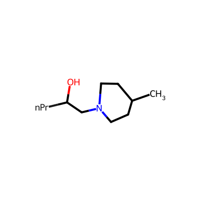 CCCC(O)CN1CCC(C)CC1